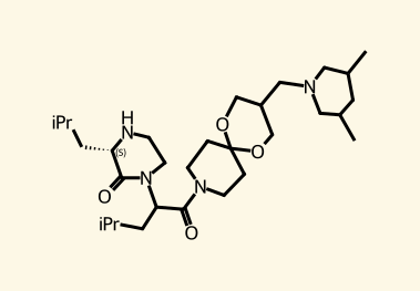 CC(C)CC(C(=O)N1CCC2(CC1)OCC(CN1CC(C)CC(C)C1)CO2)N1CCN[C@@H](CC(C)C)C1=O